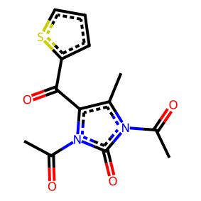 CC(=O)n1c(C)c(C(=O)c2cccs2)n(C(C)=O)c1=O